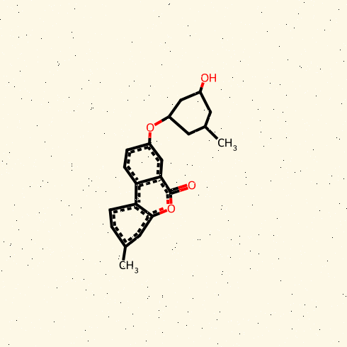 Cc1ccc2c(c1)oc(=O)c1cc(OC3CC(C)CC(O)C3)ccc12